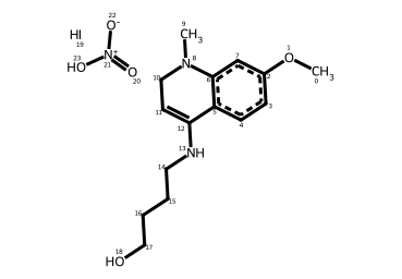 COc1ccc2c(c1)N(C)CC=C2NCCCCO.I.O=[N+]([O-])O